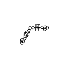 CS(=O)(=O)Oc1ccc(C(F)(F)C(F)(F)C(F)(F)c2ccc(Oc3ccc(C(F)(F)C(F)(F)C(F)(F)c4ccc(OS(C)(=O)=O)cc4)cc3)cc2)cc1